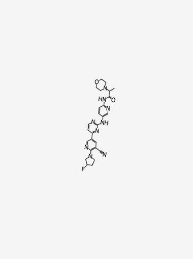 CC(C(=O)Nc1ccc(Nc2nccc(-c3cnc(N4CCC(F)C4)c(C#N)c3)n2)cn1)N1CCOCC1